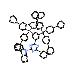 c1ccc(-c2ccc([Si](c3ccc(-c4ccccc4)cc3)(c3ccc(-c4ccccc4)cc3)c3cc(-c4nc(-c5ccccc5)nc(-n5c6ccccc6c6ccccc65)n4)cc([Si](c4ccc(-c5ccccc5)cc4)(c4ccc(-c5ccccc5)cc4)c4ccc(-c5ccccc5)cc4)c3)cc2)cc1